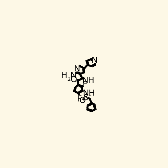 N=C(C(=O)c1ccc(F)c(N[S+]([O-])Cc2ccccc2)c1F)c1cc(-c2ccncc2)cnc1N